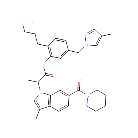 Cc1cnn(Cc2ccc(CCCC(=O)O)c(NC(=O)C(C)n3cc(C)c4ccc(C(=O)N5CCCCC5)cc43)c2)c1